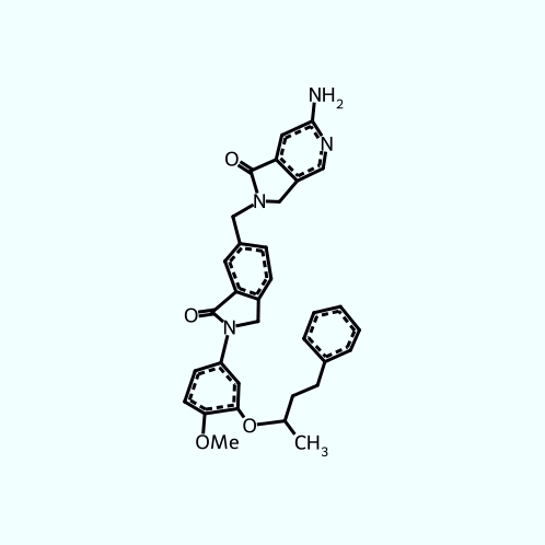 COc1ccc(N2Cc3ccc(CN4Cc5cnc(N)cc5C4=O)cc3C2=O)cc1OC(C)CCc1ccccc1